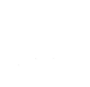 CCc1ccc(OC)c(C(O)CNC(=O)CN)c1